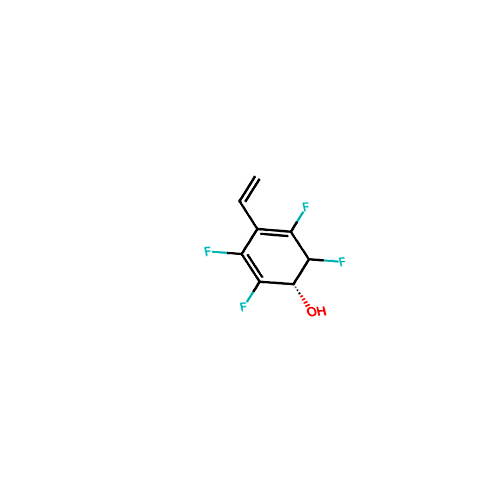 C=CC1=C(F)C(F)[C@H](O)C(F)=C1F